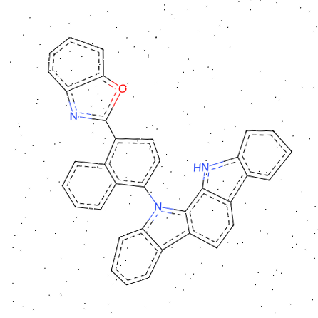 c1ccc2oc(-c3ccc(-n4c5ccccc5c5ccc6c7ccccc7[nH]c6c54)c4ccccc34)nc2c1